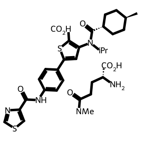 CC(C)N(c1cc(-c2ccc(NC(=O)c3cscn3)cc2)sc1C(=O)O)C(=O)[C@H]1CC[C@H](C)CC1.CNC(=O)CC[C@@H](N)C(=O)O